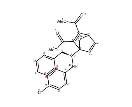 COC(=O)C1=C(C(=O)OC)C2([C@H](Cc3ccccc3)Nc3ccc(Cl)cc3)C=CC1O2